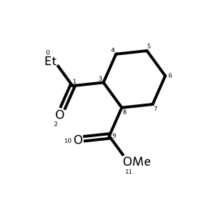 CCC(=O)C1CCCCC1C(=O)OC